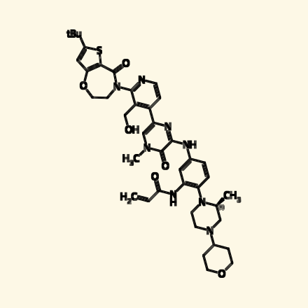 C=CC(=O)Nc1cc(Nc2nc(-c3ccnc(N4CCOc5cc(C(C)(C)C)sc5C4=O)c3CO)cn(C)c2=O)ccc1N1CCN(C2CCOCC2)C[C@@H]1C